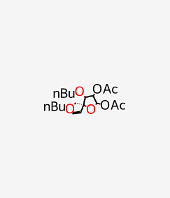 C=C[C@]1(COCCCC)OC(OC(C)=O)[C@H](OC(C)=O)[C@@H]1OCCCC